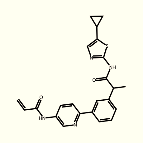 C=CC(=O)Nc1ccc(-c2cccc(C(C)C(=O)Nc3ncc(C4CC4)s3)c2)nc1